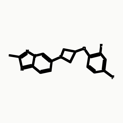 Cc1nc2ccc(N3CC(Oc4ccc(F)cc4F)C3)cn2n1